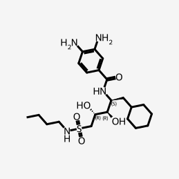 CCCCNS(=O)(=O)C[C@H](O)[C@H](O)[C@H](CC1CCCCC1)NC(=O)c1ccc(N)c(N)c1